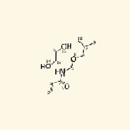 C=CC(=O)NCOCC(C)C.OCCO